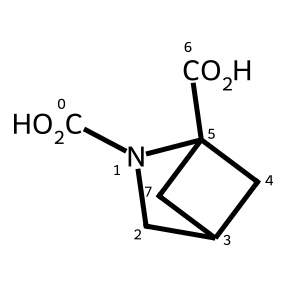 O=C(O)N1CC2CC1(C(=O)O)C2